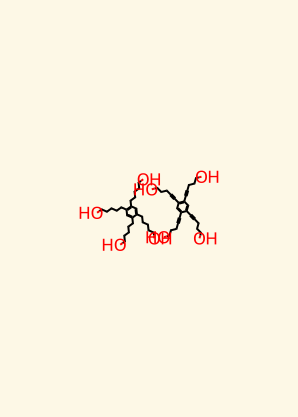 OCCCC#Cc1cc(C#CCCCO)c(C#CCCCO)cc1C#CCCCO.OCCCCCc1cc(CCCCCO)c(CCCCCO)cc1CCCCCO